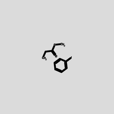 CCC(=O)OC.Ic1ccccc1